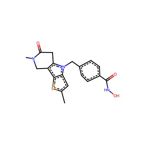 Cc1cc2c(s1)c1c(n2Cc2ccc(C(=O)NO)cc2)CC(=O)N(C)C1